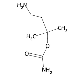 CC(C)(CCN)OC(N)=O